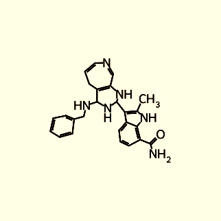 Cc1[nH]c2c(C(N)=O)cccc2c1C1NC2=C(CC=CN=C2)C(NCc2ccccc2)N1